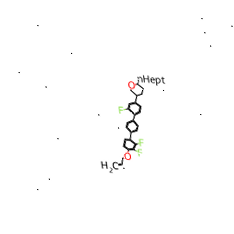 C=CCOc1ccc(-c2ccc(-c3ccc(C4CCC(CCCCCCC)OC4)cc3F)cc2)c(F)c1F